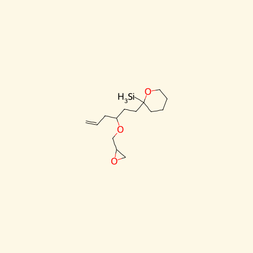 C=CCC(CCC1([SiH3])CCCCO1)OCC1CO1